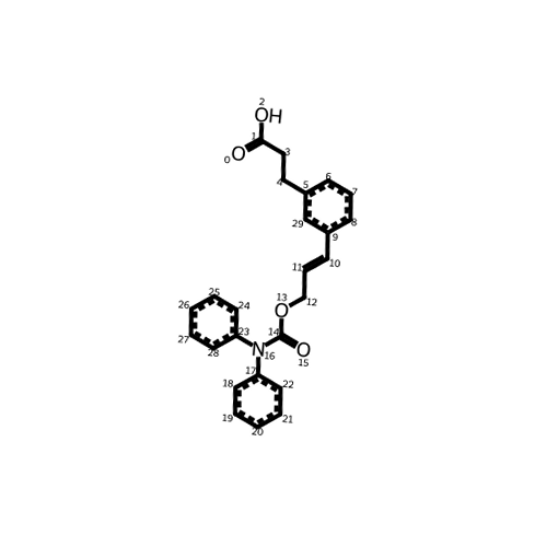 O=C(O)CCc1cccc(C=CCOC(=O)N(c2ccccc2)c2ccccc2)c1